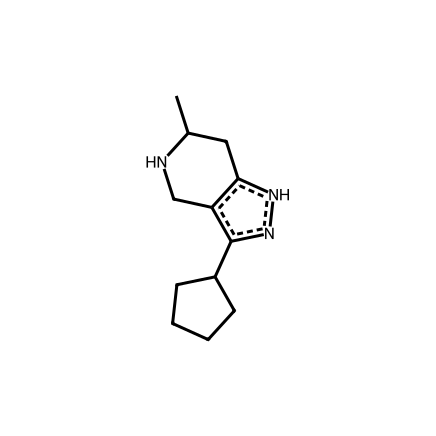 CC1Cc2[nH]nc(C3CCCC3)c2CN1